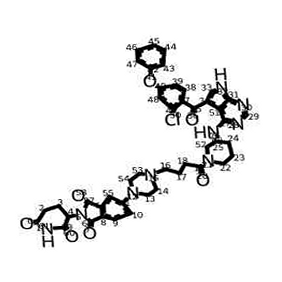 O=C1CCC(N2C(=O)c3ccc(N4CCN(CCCC(=O)N5CCC[C@@H](Nc6ncnc7[nH]cc(C(=O)c8ccc(Oc9ccccc9)cc8Cl)c67)C5)CC4)cc3C2=O)C(=O)N1